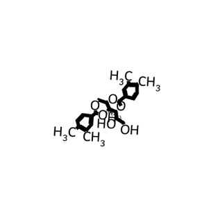 Cc1ccc(C2OC3COC(c4ccc(C)c(C)c4)O[C@@H]3[C@H]([C@@H](O)CO)O2)cc1C